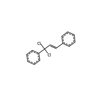 ClC(Cl)(C=Cc1ccccc1)c1ccccc1